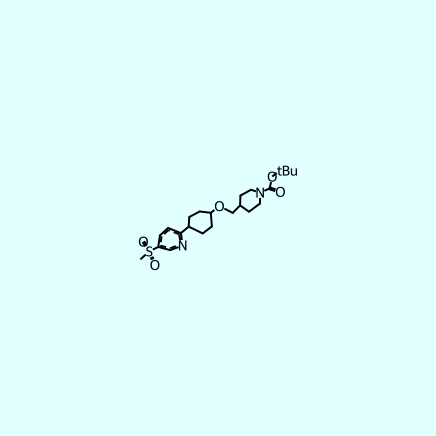 CC(C)(C)OC(=O)N1CCC(COC2CCC(c3ccc(S(C)(=O)=O)cn3)CC2)CC1